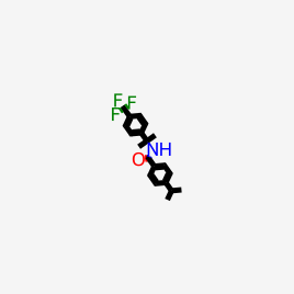 CC(C)c1ccc(C(=O)NC(C)(C)c2ccc(C(F)(F)F)cc2)cc1